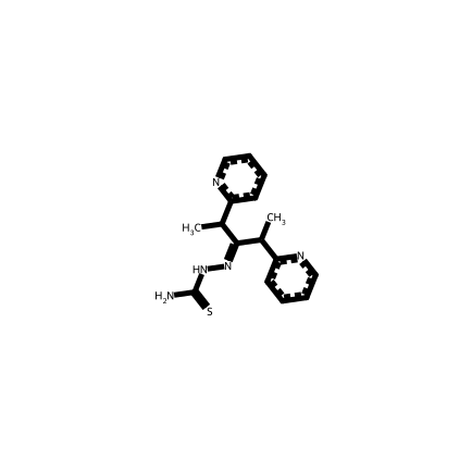 CC(C(=NNC(N)=S)C(C)c1ccccn1)c1ccccn1